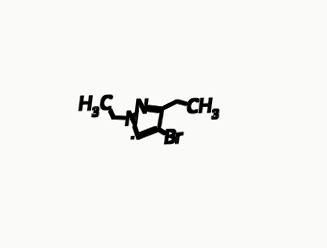 CCc1nn(CC)[c]c1Br